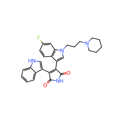 O=C1NC(=O)C(c2cn(CCCN3CCCCC3)c3cc(F)ccc23)=C1c1c[nH]c2ccccc12